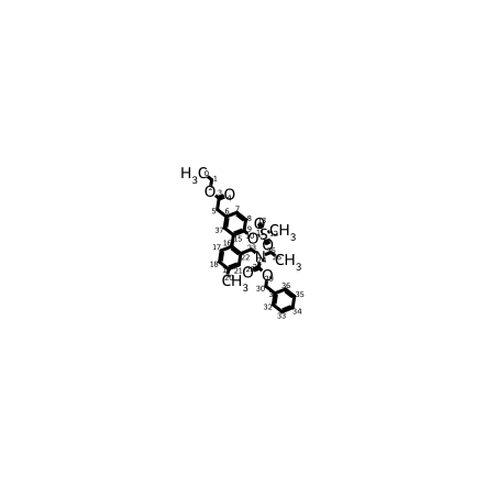 CCOC(=O)Cc1ccc(OS(C)(=O)=O)c(-c2ccc(C)cc2CN(CC)C(=O)OCc2ccccc2)c1